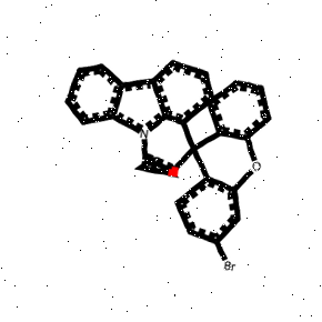 Brc1ccc2c(c1)Oc1ccccc1C21c2ccccc2-n2c3ccccc3c3cccc1c32